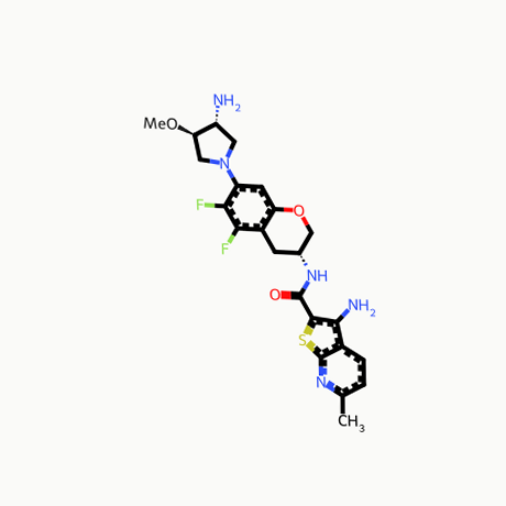 CO[C@@H]1CN(c2cc3c(c(F)c2F)C[C@@H](NC(=O)c2sc4nc(C)ccc4c2N)CO3)C[C@H]1N